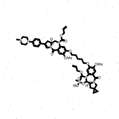 C=CCOC(=O)N1C[C@@H]2CC(c3ccc(N4CCN(C)CC4)cc3)=CN2C(=O)c2cc(OC)c(OCCCCCOc3cc4c(cc3OC)C(=O)N3CC5(CC5)C[C@H]3C(O[Si](C)(C)C(C)(C)C)N4C(=O)OCC=C)cc21